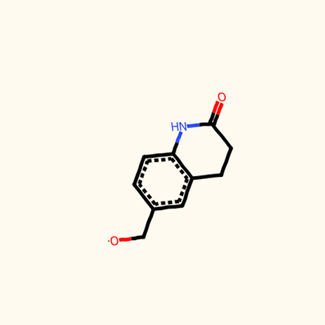 [O]Cc1ccc2c(c1)CCC(=O)N2